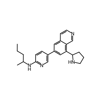 CCCC(C)Nc1ccc(-c2cc(C3CCCN3)c3cnccc3c2)cn1